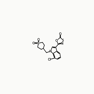 O=c1oc(-c2cn(CC3CCS(=O)(=O)CC3)c3c(Cl)cccc23)ns1